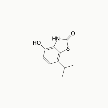 CC(C)c1ccc(O)c2[nH]c(=O)sc12